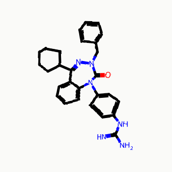 N=C(N)Nc1ccc(N2C(=O)N(Cc3ccccc3)N=C(C3CCCCC3)c3ccccc32)cc1